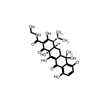 CN(C)[C@@H]1C(O)=C(C(=O)NCO)C(=O)[C@@]2(O)C(O)=C3C(=O)c4c(O)ccc(Cl)c4[C@@](C)(O)C3C[C@@H]12